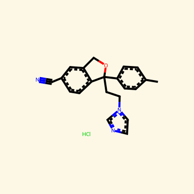 Cc1ccc(C2(CCn3ccnc3)OCc3cc(C#N)ccc32)cc1.Cl